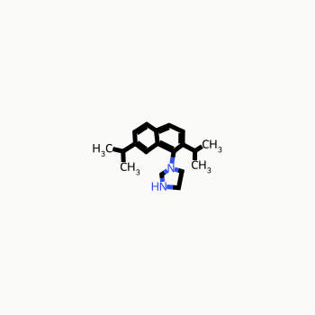 CC(C)c1ccc2ccc(C(C)C)c(N3CCNC3)c2c1